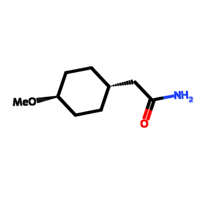 CO[C@H]1CC[C@H](CC(N)=O)CC1